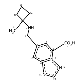 CC1(NCc2cc(C(=O)O)n3ncnc3c2)CCC1